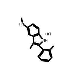 CNc1ccc2[nH]c(-c3ccccc3C)c(C)c2c1.Cl